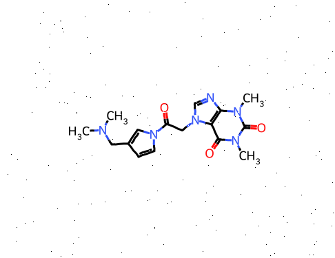 CN(C)Cc1ccn(C(=O)Cn2cnc3c2c(=O)n(C)c(=O)n3C)c1